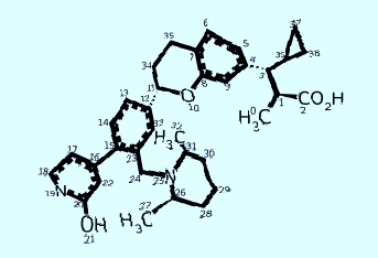 C[C@H](C(=O)O)[C@H](c1ccc2c(c1)O[C@H](c1ccc(-c3ccnc(O)c3)c(CN3[C@H](C)CCC[C@@H]3C)c1)CC2)C1CC1